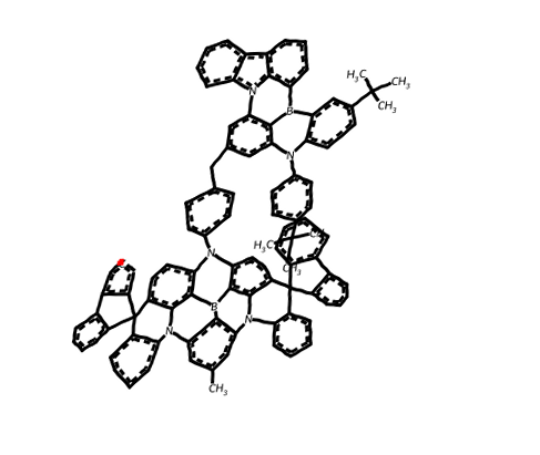 Cc1cc2c3c(c1)N1c4ccccc4C4(c5ccccc5-c5ccccc54)c4ccc5c(c41)B3c1c(ccc3c1N2c1ccccc1C31c2ccccc2-c2ccccc21)N5c1ccc(Cc2cc3c4c(c2)-n2c5ccccc5c5cccc(c52)B4c2cc(C(C)(C)C)ccc2N3c2ccc(C(C)(C)C)cc2)cc1